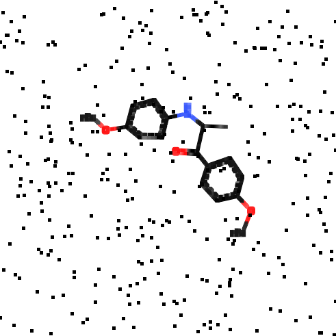 CCCCOc1ccc(NC(C)C(=O)c2ccc(OCCCC)cc2)cc1